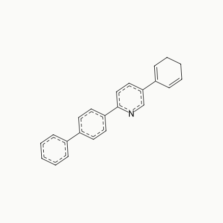 C1=CC(c2ccc(-c3ccc(-c4ccccc4)cc3)nc2)=CCC1